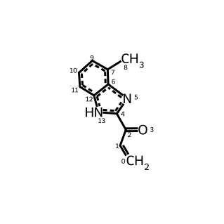 C=CC(=O)c1nc2c(C)cccc2[nH]1